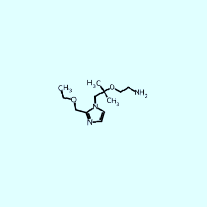 CCOCc1nccn1CC(C)(C)OCCN